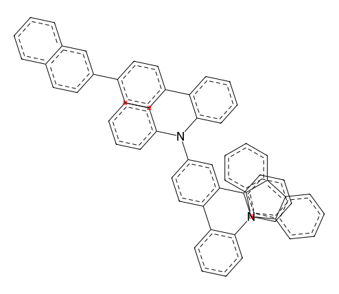 c1ccc(-c2cc(N(c3ccccc3)c3ccccc3-c3ccc(-c4ccc5ccccc5c4)cc3)ccc2-c2ccccc2-n2c3ccccc3c3ccccc32)cc1